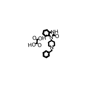 O=C(O)C(=O)O.O=c1[nH]c2ccccc2n1C1CCN(Cc2ccccc2)CC1